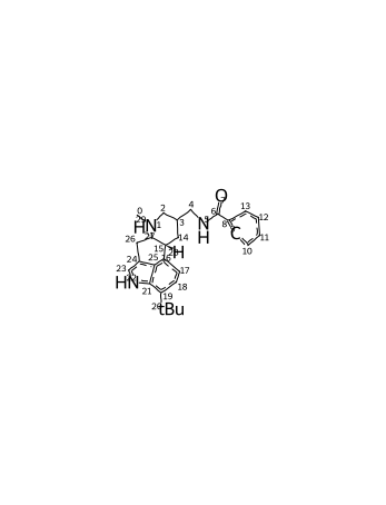 CN1CC(CNC(=O)c2ccccc2)C[C@@H]2c3ccc(C(C)(C)C)c4[nH]cc(c34)C[C@H]21